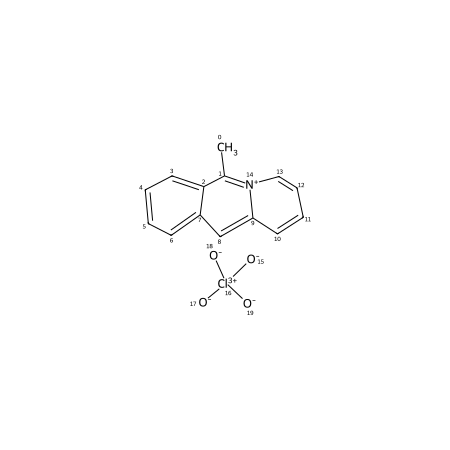 Cc1c2ccccc2cc2cccc[n+]12.[O-][Cl+3]([O-])([O-])[O-]